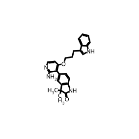 CC1(C)C(=O)Nc2ccc(-c3c(OCCCc4c[nH]c5ccccc45)ccnc3N)cc21